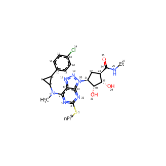 CCCSc1nc(N(C)C2CC2c2ccc(Cl)cc2)c2nnn([C@H]3C[C@@H](C(=O)NCC)[C@H](O)[C@@H]3O)c2n1